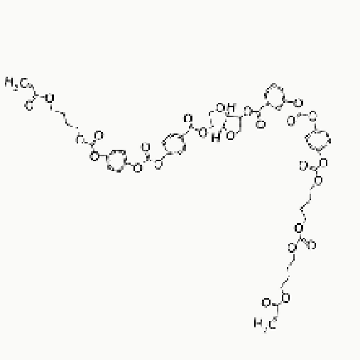 C=CC(=O)OCCCCOC(=O)OCCCCOC(=O)Oc1ccc(OC(=O)Oc2cccc(C(=O)O[C@H]3CO[C@H]4[C@@H]3OC[C@H]4OC(=O)c3ccc(OC(=O)Oc4ccc(OC(=O)OCCCCOC(=O)C=C)cc4)cc3)c2)cc1